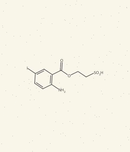 Nc1ccc(I)cc1C(=O)OCCS(=O)(=O)O